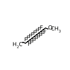 C=CCC(F)(F)C(F)(F)C(F)(F)C(F)(F)C(F)(F)C(F)(F)C(F)(F)C(F)(F)CCOC